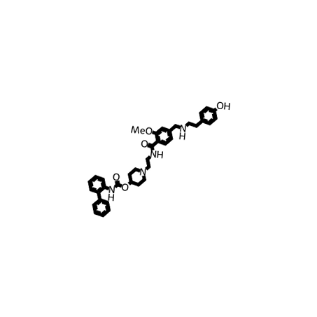 COc1cc(CNCCc2ccc(O)cc2)ccc1C(=O)NCCN1CCC(OC(=O)Nc2ccccc2-c2ccccc2)CC1